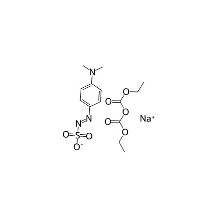 CCOC(=O)OC(=O)OCC.CN(C)c1ccc(/N=N/S(=O)(=O)[O-])cc1.[Na+]